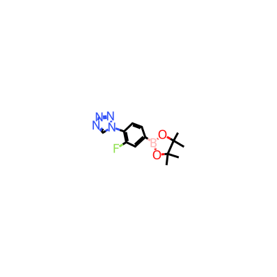 CC1(C)OB(c2ccc(-n3cnnn3)c(F)c2)OC1(C)C